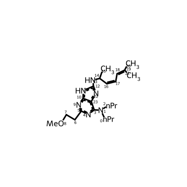 CCCN(CCC)c1nc(CCOC)nc2[nH]c(NC(C)/C=C\C=C(C)C)nc12